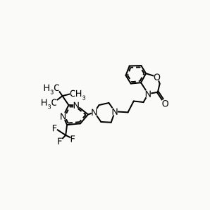 CC(C)(C)c1nc(N2CCN(CCCN3C(=O)COc4ccccc43)CC2)cc(C(F)(F)F)n1